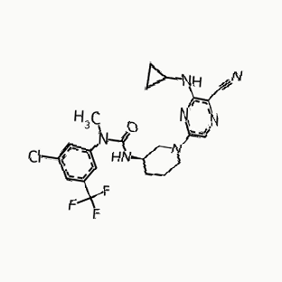 CN(C(=O)N[C@@H]1CCCN(c2cnc(C#N)c(NC3CC3)n2)C1)c1cc(Cl)cc(C(F)(F)F)c1